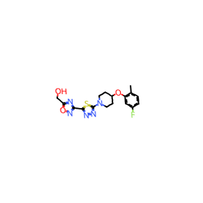 Cc1ccc(F)cc1OC1CCN(c2nnc(-c3noc(CO)n3)s2)CC1